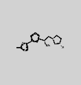 CN[C@H](CN1CC[C@H](O)C1)c1cccc(-c2csc(C)n2)c1